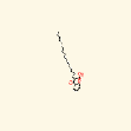 CCCCCCCCCCCCCCCCCCC(C(=O)O)C(=O)c1ccccc1